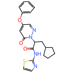 O=C(Nc1nccs1)C(CC1CCCC1)n1ncc(Oc2ccccc2)cc1=O